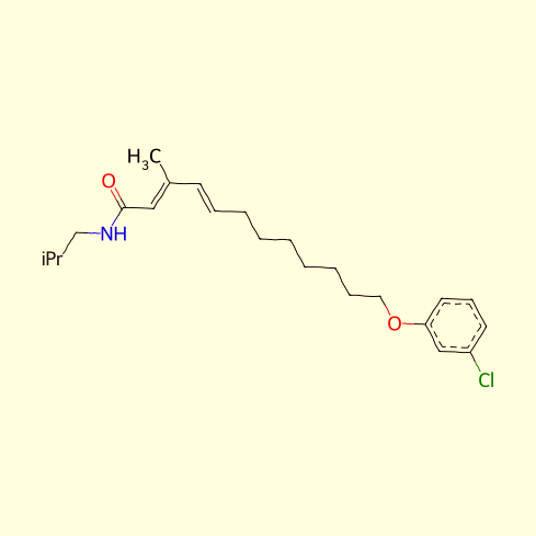 CC(C=CCCCCCCCOc1cccc(Cl)c1)=CC(=O)NCC(C)C